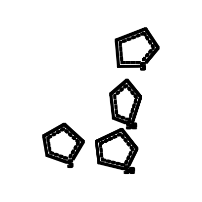 c1cc[se]c1.c1cc[se]c1.c1ccsc1.c1ccsc1